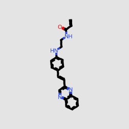 C=CC(=O)NCCNc1ccc(/C=C/c2cnc3ccccc3n2)cc1